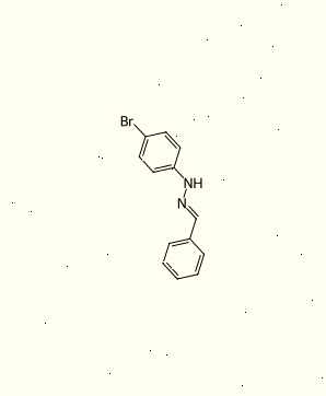 Brc1ccc(NN=Cc2ccccc2)cc1